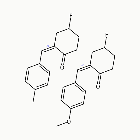 COc1ccc(/C=C2/CC(F)CCC2=O)cc1.Cc1ccc(/C=C2/CC(F)CCC2=O)cc1